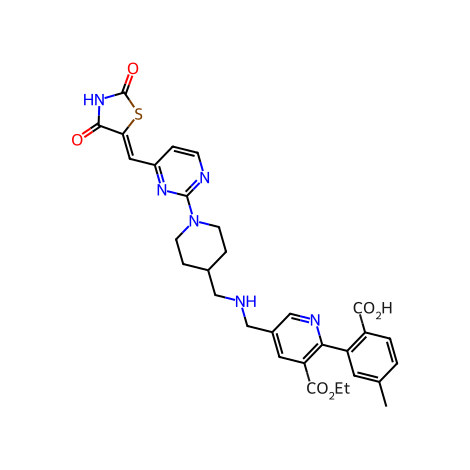 CCOC(=O)c1cc(CNCC2CCN(c3nccc(/C=C4\SC(=O)NC4=O)n3)CC2)cnc1-c1cc(C)ccc1C(=O)O